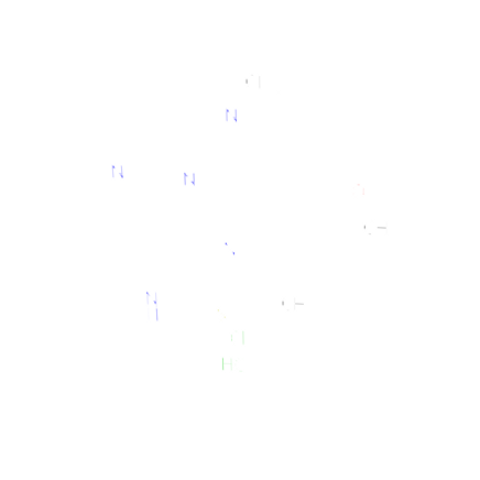 COCCC1CN(C2=c3ncccc3=CNc3sc(C)nc32)CCN1C.Cl.Cl